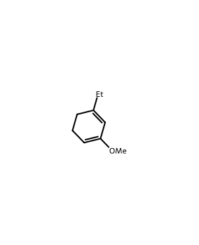 CCC1=CC(OC)=CCC1